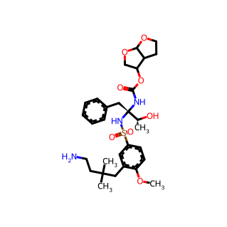 COc1ccc(S(=O)(=O)N[C@](Cc2ccccc2)(NC(=O)OC2COC3OCCC23)[C@@H](C)O)cc1CC(C)(C)CCN